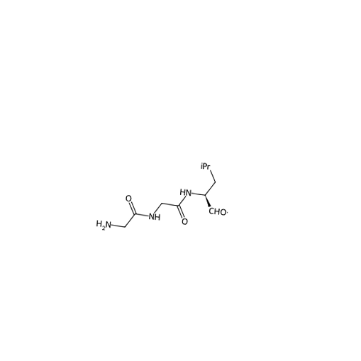 CC(C)C[C@@H]([C]=O)NC(=O)CNC(=O)CN